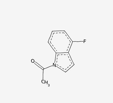 CC(=O)n1ccc2c(F)cccc21